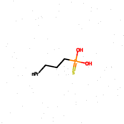 CCCCCCP(O)(O)=S